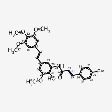 COc1cc(C=Cc2cc(OC)c(OC)c(OC)c2)cc(NC(=O)/C=C/c2ccc(F)cc2)c1O